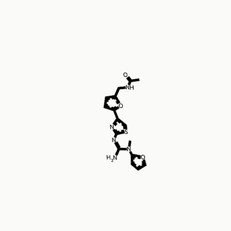 CC(=O)NCc1ccc(-c2csc(N=C(N)N(C)c3ccco3)n2)o1